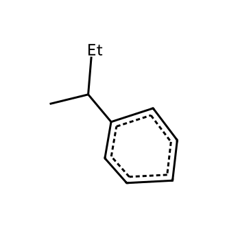 [CH]CC(C)c1ccccc1